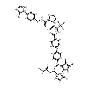 COC(=O)CC1N=C(c2ccc(-c3ccc(C(=O)NC(C(=O)N4CCCC4C(=O)NCc4ccc(-c5ocnc5C)cc4)C(C)(C)C)cc3)cc2)c2c(sc(C)c2C)-n2c(C)nnc21